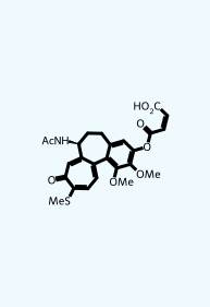 COc1c(OC(=O)/C=C\C(=O)O)cc2c(c1OC)-c1ccc(SC)c(=O)cc1[C@@H](NC(C)=O)CC2